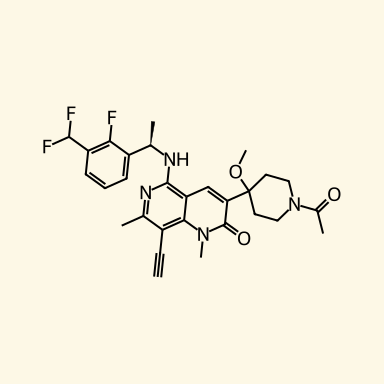 C#Cc1c(C)nc(N[C@H](C)c2cccc(C(F)F)c2F)c2cc(C3(OC)CCN(C(C)=O)CC3)c(=O)n(C)c12